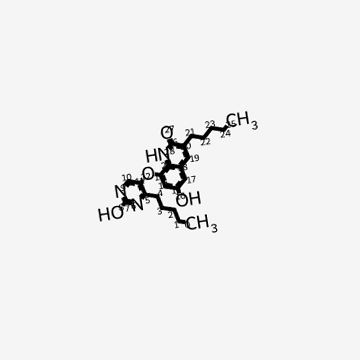 CCCCCc1nc(O)ncc1Oc1cc(O)cc2cc(CCCCC)c(=O)[nH]c12